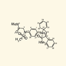 CNC(=O)CN(c1ccc(NC2(C=C3C(=O)Nc4ccccc43)C=CC=CC2)cc1)S(C)(=O)=O